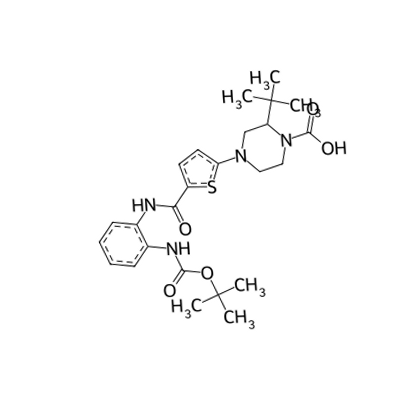 CC(C)(C)OC(=O)Nc1ccccc1NC(=O)c1ccc(N2CCN(C(=O)O)C(C(C)(C)C)C2)s1